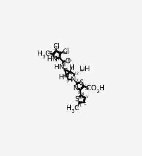 Cc1ccc(-c2nc(N3C[C@@H]4[C@H](C3)[C@H]4NC(=O)c3[nH]c(C)c(Cl)c3Cl)sc2C(=O)O)s1.[LiH]